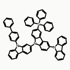 c1ccc(-c2ccc(-n3c4ccccc4c4ccc(-n5c6ccc(-n7c8ccccc8c8ccccc87)cc6c6cc([Si](c7ccccc7)(c7ccccc7)c7ccccc7)ccc65)cc43)cc2)cc1